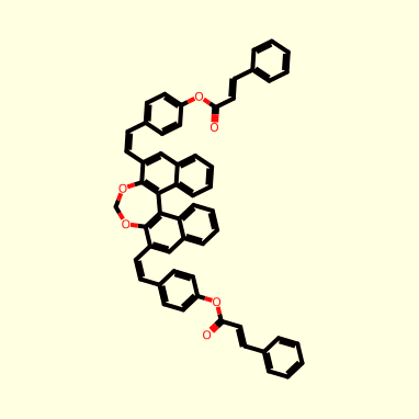 O=C(/C=C/c1ccccc1)Oc1ccc(/C=C\c2cc3ccccc3c3c2OCOc2c(/C=C\c4ccc(OC(=O)/C=C/c5ccccc5)cc4)cc4ccccc4c2-3)cc1